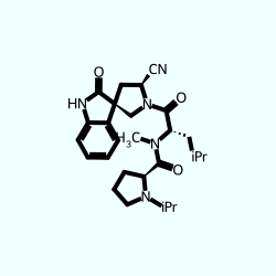 CC(C)C[C@@H](C(=O)N1C[C@]2(C[C@H]1C#N)C(=O)Nc1ccccc12)N(C)C(=O)[C@@H]1CCCN1C(C)C